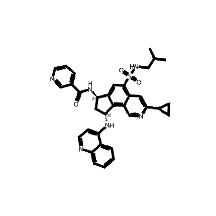 CC(C)CNS(=O)(=O)c1cc2c(c3cnc(C4CC4)cc13)[C@H](Nc1ccnc3ccccc13)C[C@H]2NC(=O)c1cccnc1